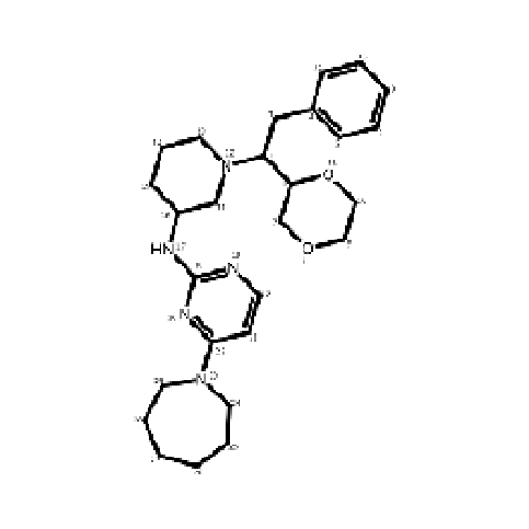 c1ccc(CC(C2COCCO2)N2CCCC(Nc3nccc(N4CCCCCC4)n3)C2)cc1